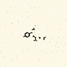 COC(=O)C[C@H](NC(=O)[C@@H](NC(=O)OC(C)C)C(C)C)c1ccc(Cl)cc1